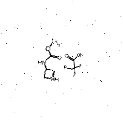 COC(=O)NC1CNC1.O=C(O)C(F)(F)F